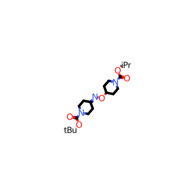 CC(C)OC(=O)N1CCC(ON=C2CCN(C(=O)OC(C)(C)C)CC2)CC1